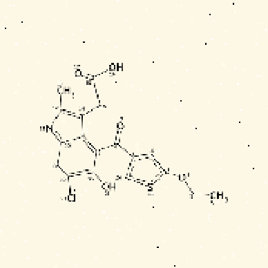 CCOc1cc(C(=O)C2=C3C(=NC(C)=C3CC(=O)O)CC(Cl)=C2O)cs1